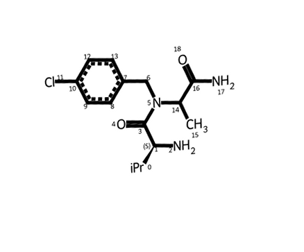 CC(C)[C@H](N)C(=O)N(Cc1ccc(Cl)cc1)C(C)C(N)=O